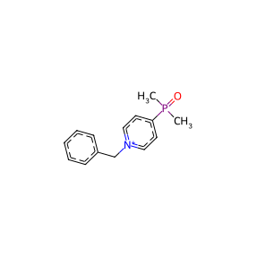 CP(C)(=O)c1cc[n+](Cc2ccccc2)cc1